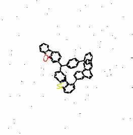 c1ccc(-c2ccc(C(c3ccc4c(c3)oc3ccccc34)c3ccc4sc5cccc(-c6ccc7c(ccc8ccccc87)c6)c5c4c3)cc2)cc1